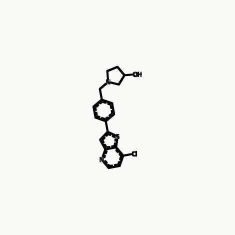 OC1CCN(Cc2ccc(-c3cc4nccc(Cl)c4s3)cc2)C1